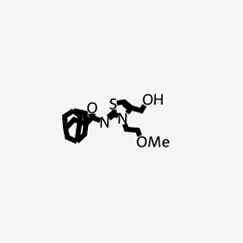 COCCn1c(CO)csc1=NC(=O)C12CC3CC(CC(C3)C1)C2